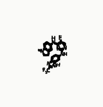 CN1CCc2cc(Nc3nc(Nc4ccc5nc(C(F)(F)F)[nH]c5c4)ncc3F)ccc21